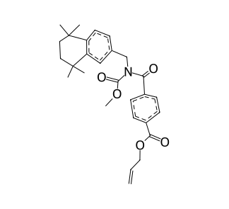 C=CCOC(=O)c1ccc(C(=O)N(Cc2ccc3c(c2)C(C)(C)CCC3(C)C)C(=O)OC)cc1